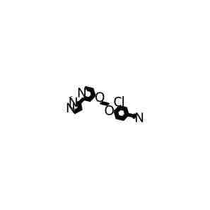 Cn1nccc1-c1cc(OCCOc2ccc(C#N)cc2Cl)ccn1